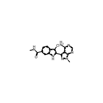 CNC(=O)c1ccc2c(Cl)c(-c3nn(C)c4ncnc(N)c34)[nH]c2c1